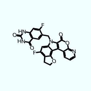 O=c1[nH]c(=O)c2cc(Cn3c4cc(F)c5c(c4c4c6cccnc6oc(=O)c43)OCC5)c(F)cc2[nH]1